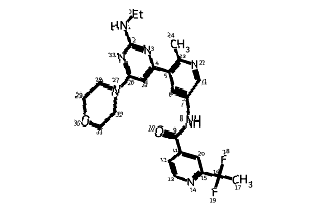 CCNc1nc(-c2cc(NC(=O)c3ccnc(C(C)(F)F)c3)cnc2C)cc(N2CCOCC2)n1